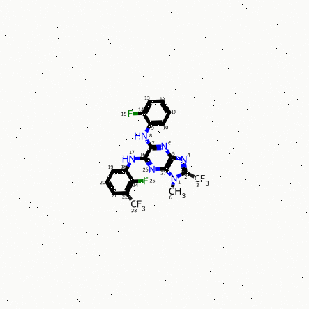 Cn1c(C(F)(F)F)nc2nc(Nc3ccccc3F)c(Nc3cccc(C(F)(F)F)c3F)nc21